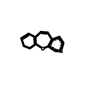 C1=CC2=C(CC1)Oc1cnccc1C=C2